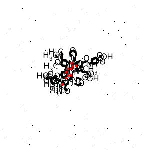 CCN(CC)c1cc(Nc2nc(Nc3cc(N(CC)CC)c(OC)cc3/N=N/c3nc(N4CCOCC4)c(/C=C(\C(C)=O)C(=O)Nc4ccc(S(=O)(=O)O)cc4)s3)nc(SCCS(=O)(=O)O)n2)c(/N=N/c2nc(N3CCOCC3)c(/C=C(/C(C)=O)C(=O)Nc3ccc(S(=O)(=O)O)cc3)s2)cc1OC